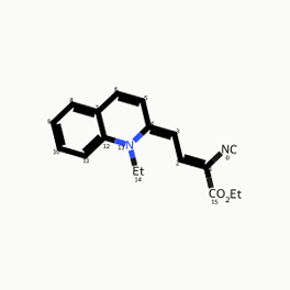 [C-]#[N+]/C(=C\C=C1\C=Cc2ccccc2N1CC)C(=O)OCC